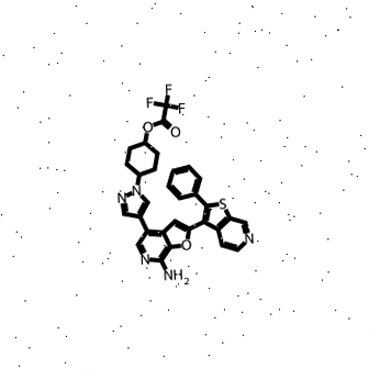 Nc1ncc(-c2cnn(C3CCC(OC(=O)C(F)(F)F)CC3)c2)c2cc(-c3c(-c4ccccc4)sc4cnccc34)oc12